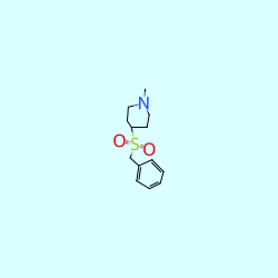 CN1CCC(S(=O)(=O)Cc2ccccc2)CC1